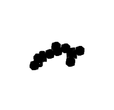 c1ccc(-c2nc(-c3ccccc3)nc(-c3cccc(-c4ccc(-c5ccc(-c6nc7c(ccc8c9ccccc9oc87)o6)cc5)c5ccccc45)c3)n2)cc1